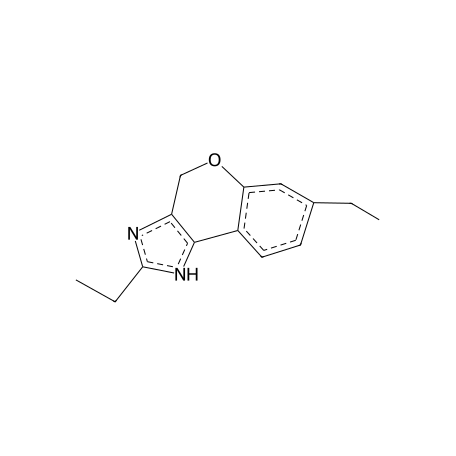 CCc1ccc2c(c1)OCc1nc(CC)[nH]c1-2